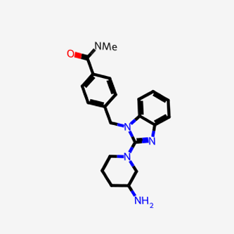 CNC(=O)c1ccc(Cn2c(N3CCCC(N)C3)nc3ccccc32)cc1